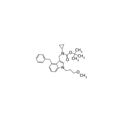 COCCCn1cc(CN(C(=O)OC(C)(C)C)C2CC2)c2c(Cc3ccccc3)cccc21